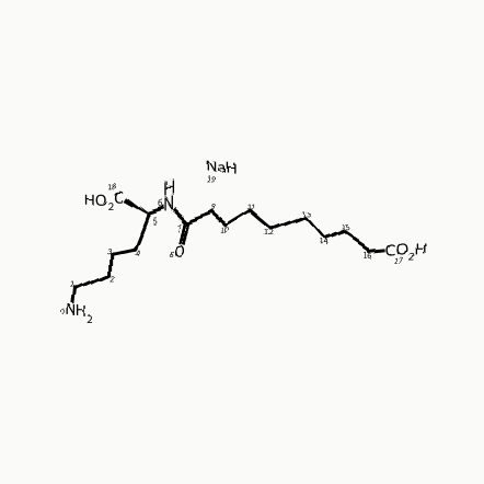 NCCCC[C@H](NC(=O)CCCCCCCCC(=O)O)C(=O)O.[NaH]